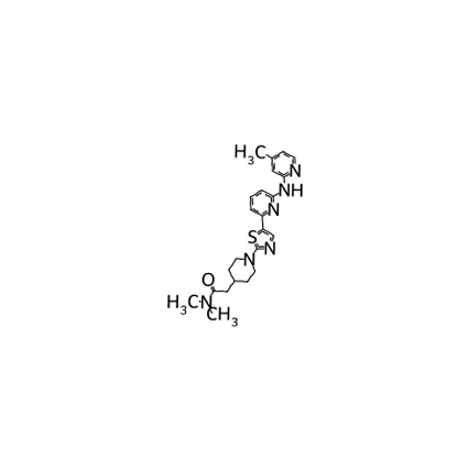 Cc1ccnc(Nc2cccc(-c3cnc(N4CCC(CC(=O)N(C)C)CC4)s3)n2)c1